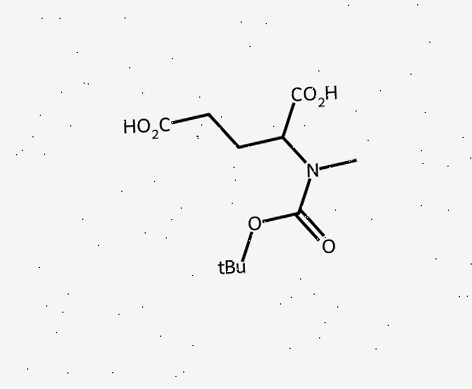 CN(C(=O)OC(C)(C)C)C(CCC(=O)O)C(=O)O